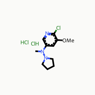 COc1cc(N(C)N2CCCC2)cnc1Cl.Cl.Cl